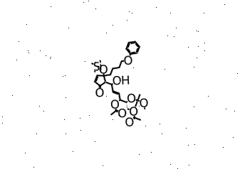 COC(C)(C)O[C@H](COC(C)=O)[C@H](/C=C/C(O)C1C(=O)C=CC1(CCCCOc1ccccc1)O[Si](C)(C)C)OC(C)=O